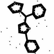 c1ccc(-c2ccc(C(c3ccccc3)n3ccnc3)o2)cc1